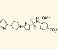 COc1cc(C(=O)O)ccc1NS(=O)(=O)c1csc(N2CCC(c3ccccn3)CC2)n1